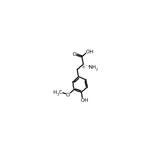 COc1cc(C[C@@H](N)C(=O)O)ccc1O